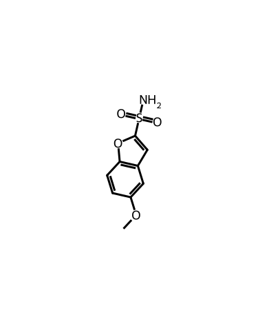 COc1ccc2oc(S(N)(=O)=O)cc2c1